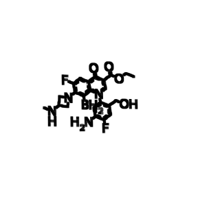 Bc1c(N2CC(NC)C2)c(F)cc2c(=O)c(C(=O)OCC)cn(-c3cc(N)c(F)cc3CO)c12